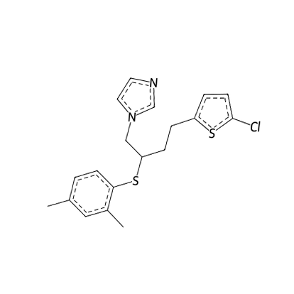 Cc1ccc(SC(CCc2ccc(Cl)s2)Cn2ccnc2)c(C)c1